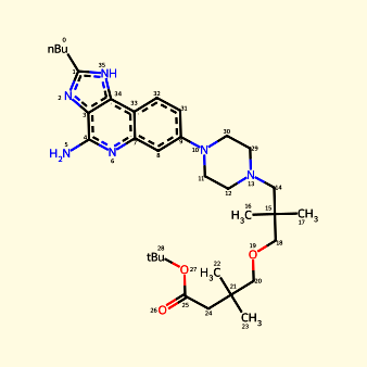 CCCCc1nc2c(N)nc3cc(N4CCN(CC(C)(C)COCC(C)(C)CC(=O)OC(C)(C)C)CC4)ccc3c2[nH]1